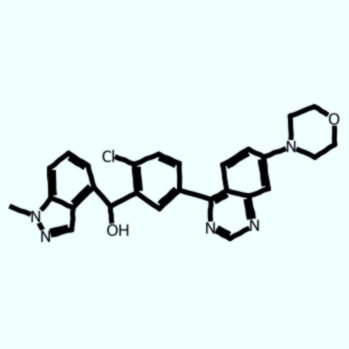 Cn1ncc2c(C(O)c3cc(-c4ncnc5cc(N6CCOCC6)ccc45)ccc3Cl)cccc21